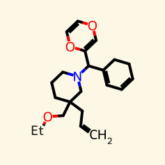 C=CCC1(COCC)CCCN(C(C2=CC=CCC2)C2=COC=CO2)C1